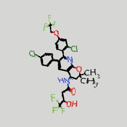 CC1(C)C[C@@H](NC(=O)CC(O)C(F)(F)F)c2cc(-c3ccc(Cl)cc3)c(-c3ccc(OCC(F)(F)F)cc3Cl)nc2O1